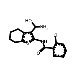 NC(O)c1c(NC(=O)c2ccccc2Cl)sc2c1CCCC2